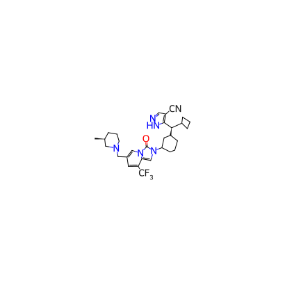 C[C@H]1CCCN(Cc2cc(C(F)(F)F)c3cn(C4CCCC([C@@H](c5[nH]ncc5C#N)C5CCC5)C4)c(=O)n3c2)C1